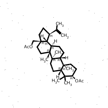 C=C(C)[C@@H]1CC[C@@]2(COC(C)=O)CC[C@]3(C)[C@H](CC[C@@H]4[C@@]5(C)CC[C@@H](OC(C)=O)C(C)(C)[C@@H]5CC[C@]43C)[C@@H]12